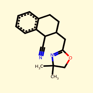 CC1(C)COC(CC2CCc3ccccc3C2C#N)=N1